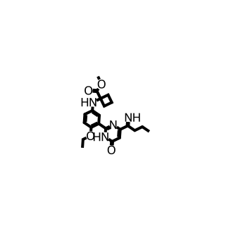 CCCC(=N)c1cc(=O)[nH]c(-c2cc(NC3(C(=O)OC)CCC3)ccc2OCC)n1